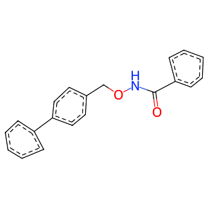 O=C(NOCc1ccc(-c2ccccc2)cc1)c1ccccc1